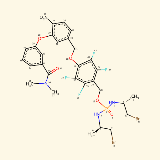 C[C@H](CBr)NP(=O)(N[C@H](C)CBr)OCc1c(F)c(F)c(OCc2ccc([N+](=O)[O-])c(Oc3cccc(C(=O)N(C)C)c3)c2)c(F)c1F